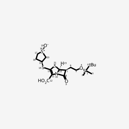 CC(C)(C)[Si](C)(C)OCC[C@H]1C(=O)N2C(C(=O)O)=C(S[C@H]3CC[S@@+]([O-])C3)S[C@@H]12